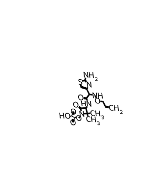 C=CCONC(C(=O)NC1C(=O)N(OS(=O)(=O)O)C1(C)C)c1csc(N)n1